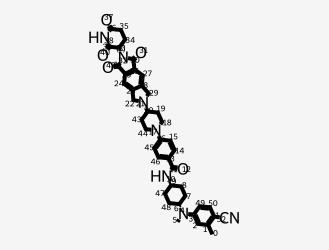 Cc1cc(N(C)[C@H]2CC[C@H](NC(=O)c3ccc(N4CCC(N5Cc6cc7c(cc6C5)C(=O)N([C@H]5CCC(=O)NC5=O)C7=O)CC4)cc3)CC2)ccc1C#N